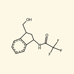 O=C(NC1CC(CO)c2ccccc21)C(F)(F)F